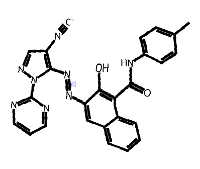 [C-]#[N+]c1cnn(-c2ncccn2)c1/N=N/c1cc2ccccc2c(C(=O)Nc2ccc(C)cc2)c1O